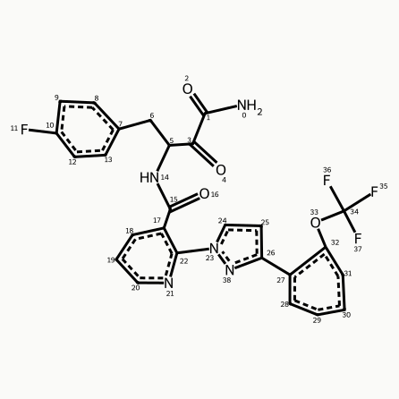 NC(=O)C(=O)C(Cc1ccc(F)cc1)NC(=O)c1cccnc1-n1ccc(-c2ccccc2OC(F)(F)F)n1